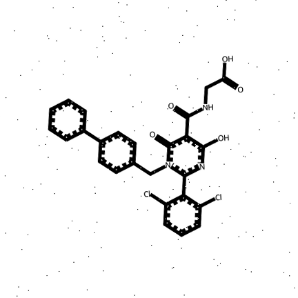 O=C(O)CNC(=O)c1c(O)nc(-c2c(Cl)cccc2Cl)n(Cc2ccc(-c3ccccc3)cc2)c1=O